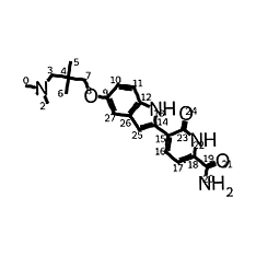 CN(C)CC(C)(C)COc1ccc2[nH]c(-c3c[c]c(C(N)=O)[nH]c3=O)cc2c1